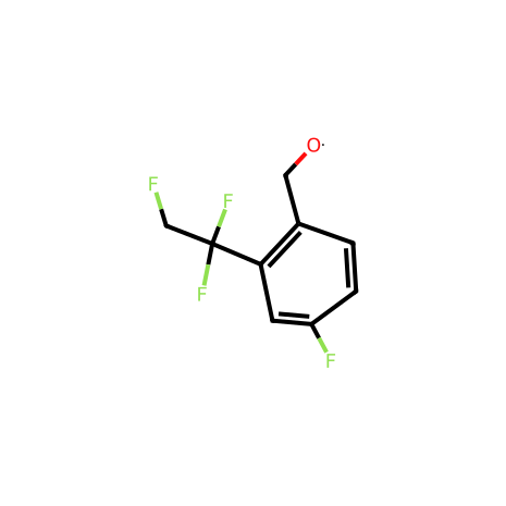 [O]Cc1ccc(F)cc1C(F)(F)CF